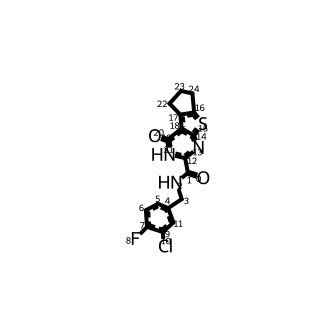 O=C(NCc1ccc(F)c(Cl)c1)c1nc2sc3c(c2c(=O)[nH]1)CCC3